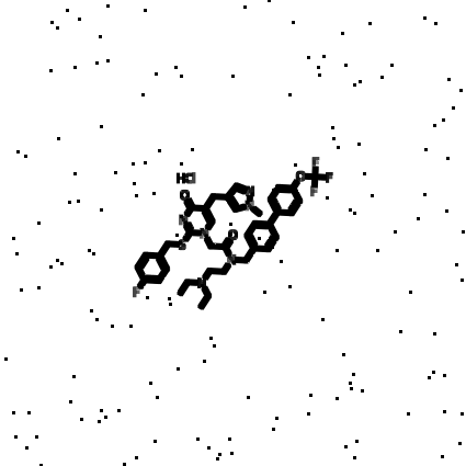 CCN(CC)CCN(Cc1ccc(-c2ccc(OC(F)(F)F)cc2)cc1)C(=O)Cn1cc(Cc2cnn(C)c2)c(=O)nc1SCc1ccc(F)cc1.Cl